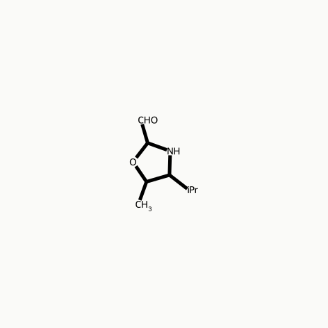 CC(C)C1NC(C=O)OC1C